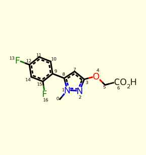 Cn1nc(OCC(=O)O)cc1-c1ccc(F)cc1F